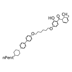 CCCCC[C@H]1CC[C@H](c2ccc(-c3ccc(OCCCCCCOc4ccc(C(=O)C5C=CC=CC5C)c(O)c4)cc3)cc2)CC1